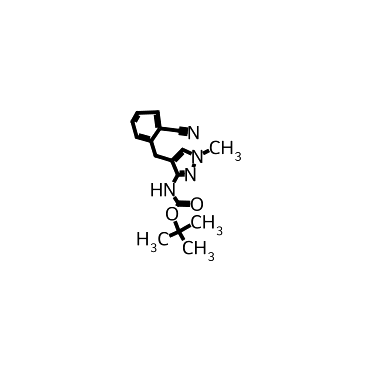 Cn1cc(Cc2ccccc2C#N)c(NC(=O)OC(C)(C)C)n1